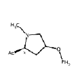 CC(=O)[C@@H]1CC(OP)CN1C